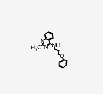 Cc1nc(NCCCOc2ccccc2)c2ccccc2n1